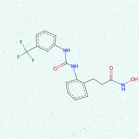 O=C(CCc1ccccc1NC(=O)Nc1cccc(C(F)(F)F)c1)NO